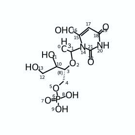 CC(O[C@H](COP(=O)(O)O)C(O)CO)n1c(C=O)cc(=O)[nH]c1=O